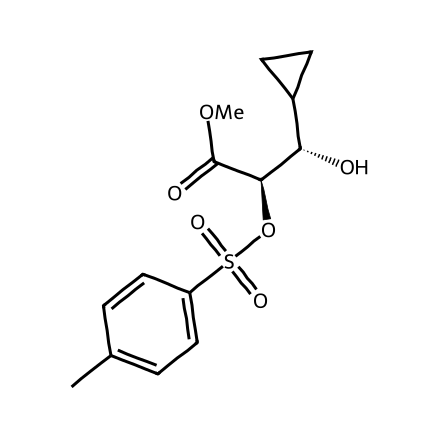 COC(=O)[C@H](OS(=O)(=O)c1ccc(C)cc1)[C@@H](O)C1CC1